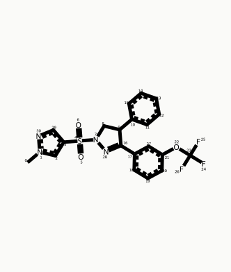 Cn1cc(S(=O)(=O)N2CC(c3ccccc3)C(c3cccc(OC(F)(F)F)c3)=N2)cn1